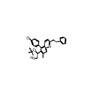 Cc1cc2nc(CCc3ccccc3)ccc2c(-c2ccc(Cl)cc2)c1[C@@H](CO)OC(C)(C)C